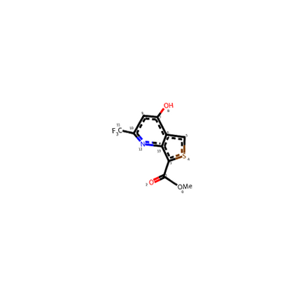 COC(=O)c1scc2c(O)cc(C(F)(F)F)nc12